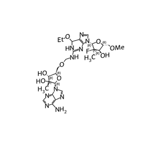 CCOC1NC(NCOC[C@H]2O[C@@H](n3cnc4c(N)ncnc43)[C@](C)(O)[C@@H]2O)=Nc2c1ncn2[C@@H]1O[C@H](COC)[C@@H](O)[C@@]1(C)F